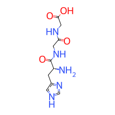 N[C@@H](Cc1c[nH]cn1)C(=O)NCC(=O)NCC(=O)O